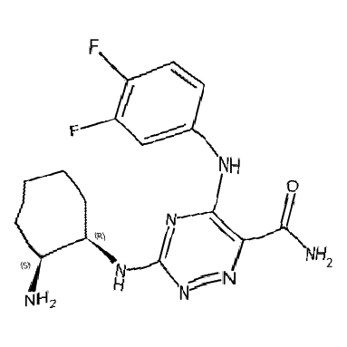 NC(=O)c1nnc(N[C@@H]2CCCC[C@@H]2N)nc1Nc1ccc(F)c(F)c1